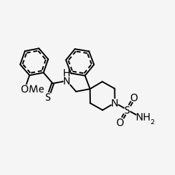 COc1ccccc1C(=S)NCC1(c2ccccc2)CCN(S(N)(=O)=O)CC1